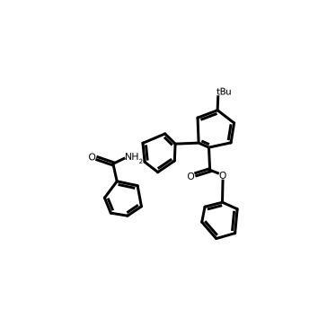 CC(C)(C)c1ccc(C(=O)Oc2ccccc2)c(-c2ccccc2)c1.NC(=O)c1ccccc1